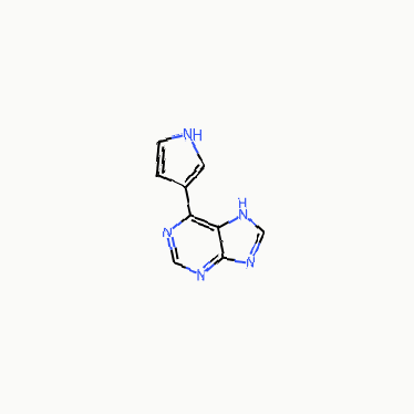 c1nc(-c2cc[nH]c2)c2[nH]cnc2n1